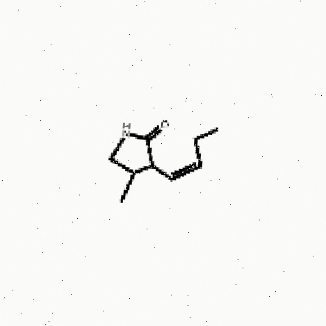 CC/C=C\C1C(=O)NCC1C